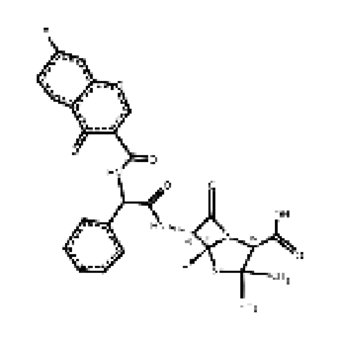 CC1(C)S[C@@H]2[C@H](NC(=O)C(NC(=O)c3coc4cc(F)ccc4c3=O)c3ccccc3)C(=O)N2[C@H]1C(=O)O